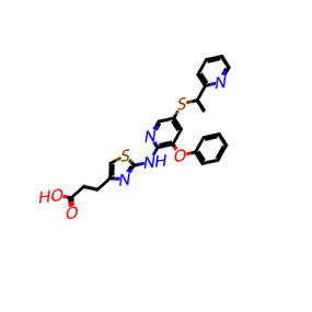 CC(Sc1cnc(Nc2nc(CCC(=O)O)cs2)c(Oc2ccccc2)c1)c1ccccn1